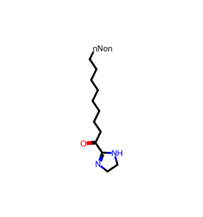 CCCCCCCCCCCCCCCCCC(=O)C1=NCCN1